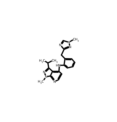 CC(C)c1nn(C)c2nccc(Nc3ccccc3Cc3ncn(C)n3)c12